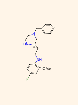 COc1cc(F)ccc1NCC[C@@H]1CN(Cc2ccccc2)CCN1